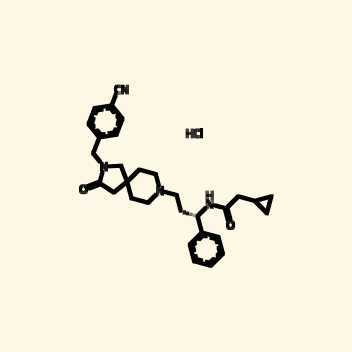 Cl.N#Cc1ccc(CN2CC3(CCN(CC[C@H](NC(=O)CC4CC4)c4ccccc4)CC3)CC2=O)cc1